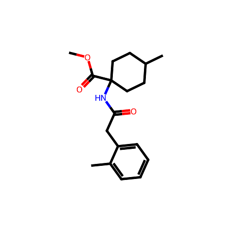 COC(=O)C1(NC(=O)Cc2ccccc2C)CCC(C)CC1